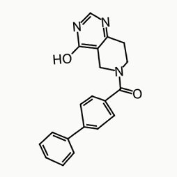 O=C(c1ccc(-c2ccccc2)cc1)N1CCc2ncnc(O)c2C1